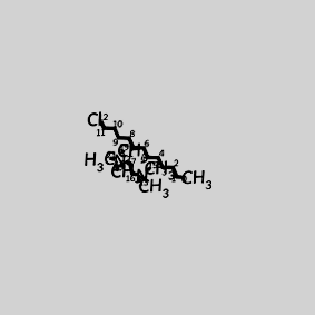 CCCCCCCCCCCCCl.CN(C)CC[N+](C)(C)C